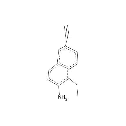 C#Cc1ccc2c(CC)c(N)ccc2c1